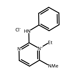 CC[n+]1c(NC)ccnc1Nc1ccccc1.[Cl-]